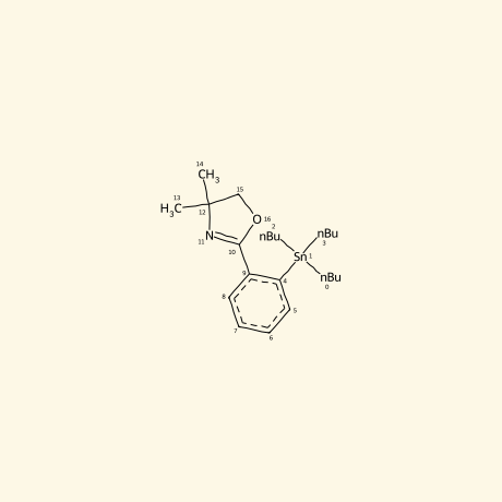 CCC[CH2][Sn]([CH2]CCC)([CH2]CCC)[c]1ccccc1C1=NC(C)(C)CO1